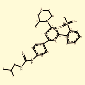 CC(C)CNC(=O)Nc1ccc(-c2nc(-c3ccccc3S(C)(=O)=O)nc(N3CCOCC3C)n2)cc1